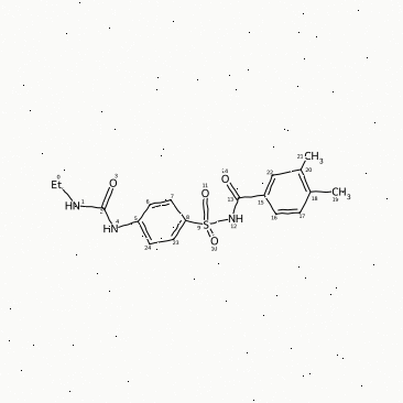 CCNC(=O)Nc1ccc(S(=O)(=O)NC(=O)c2ccc(C)c(C)c2)cc1